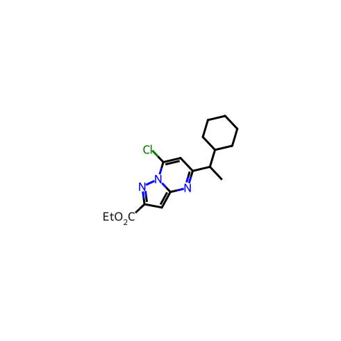 CCOC(=O)c1cc2nc(C(C)C3CCCCC3)cc(Cl)n2n1